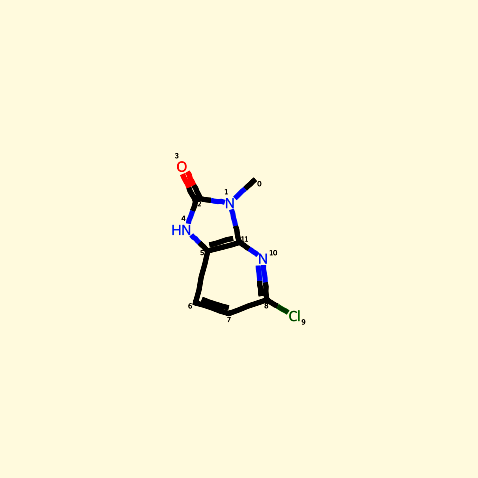 Cn1c(=O)[nH]c2ccc(Cl)nc21